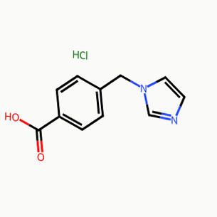 Cl.O=C(O)c1ccc(Cn2ccnc2)cc1